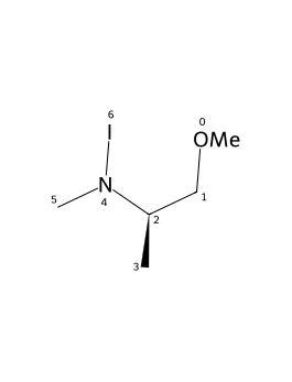 COC[C@@H](C)N(C)I